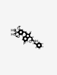 COc1cc(/C=C2\c3ccc(F)cc3C(CC(=O)NCc3ccccc3)C2C)cc(OC)c1B(O)O